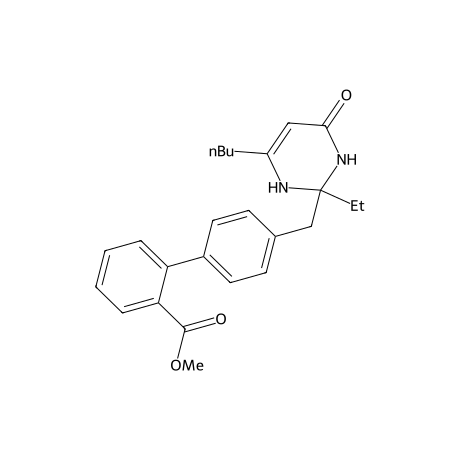 CCCCC1=CC(=O)NC(CC)(Cc2ccc(-c3ccccc3C(=O)OC)cc2)N1